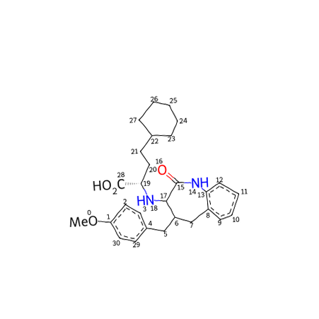 COc1ccc(CC2Cc3ccccc3NC(=O)C2N[C@@H](CCC2CCCCC2)C(=O)O)cc1